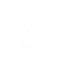 CN1CCC(c2csc(-c3cn(S(=O)(=O)c4ccccc4)c4ncc(Br)cc34)n2)CC1